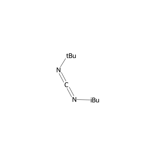 CCC(C)N=C=NC(C)(C)C